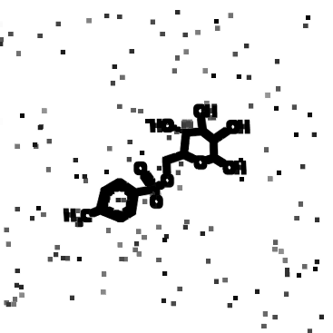 Cc1ccc(S(=O)(=O)OCC2OC(O)C(O)C(O)[C@H]2O)cc1